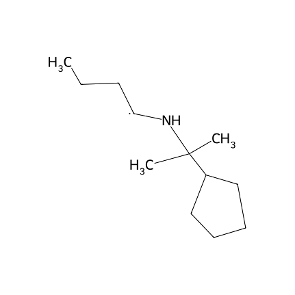 CCC[CH]NC(C)(C)C1CCCC1